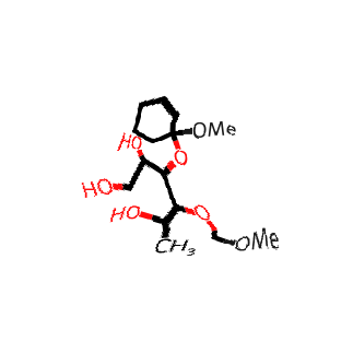 COCOC(C(C)O)C(OC1(OC)CCCCC1)C(O)CO